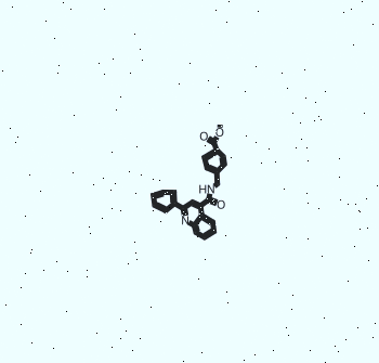 COC(=O)c1ccc(CNC(=O)c2cc(-c3ccccc3)nc3ccccc23)cc1